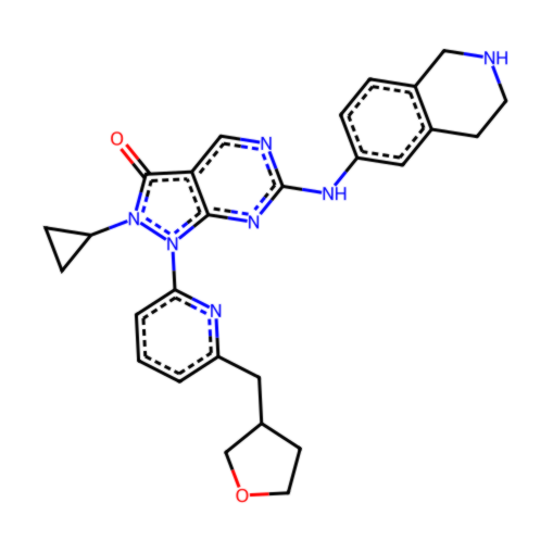 O=c1c2cnc(Nc3ccc4c(c3)CCNC4)nc2n(-c2cccc(CC3CCOC3)n2)n1C1CC1